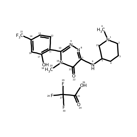 CN1CCCC(Nc2nnc(-c3ccc(C(F)(F)F)cc3O)n(C)c2=O)C1.O=C(O)C(F)(F)F